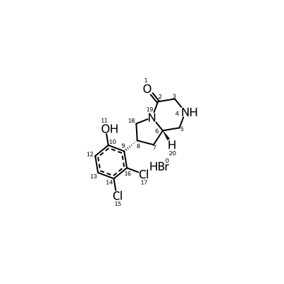 Br.O=C1CNC[C@@H]2C[C@H](c3c(O)ccc(Cl)c3Cl)CN12